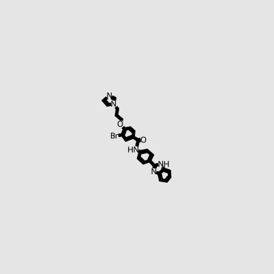 O=C(Nc1ccc(-c2nc3ccccc3[nH]2)cc1)c1ccc(OCCCn2ccnc2)c(Br)c1